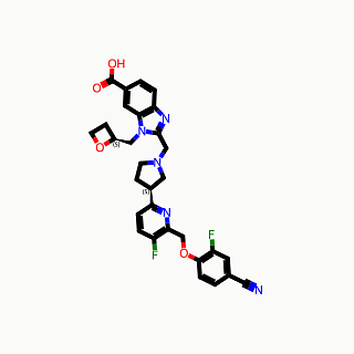 N#Cc1ccc(OCc2nc([C@H]3CCN(Cc4nc5ccc(C(=O)O)cc5n4C[C@@H]4CCO4)C3)ccc2F)c(F)c1